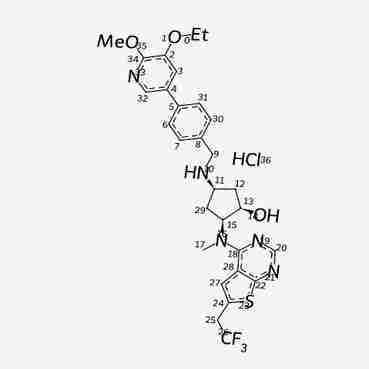 CCOc1cc(-c2ccc(CN[C@H]3C[C@@H](O)[C@@H](N(C)c4ncnc5sc(CC(F)(F)F)cc45)C3)cc2)cnc1OC.Cl